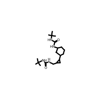 CC(C)(C)NC(=O)NCC1CC1C1CCCC(NC(=O)NC(C)(C)C)C1